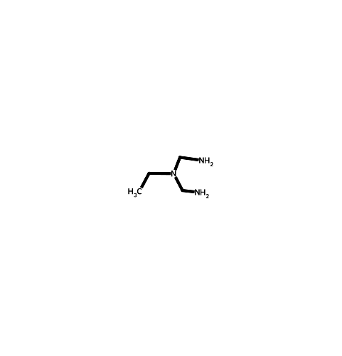 CCN(CN)CN